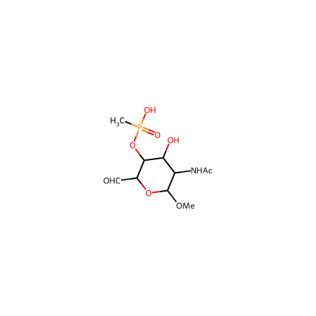 COC1OC(C=O)C(OP(C)(=O)O)C(O)C1NC(C)=O